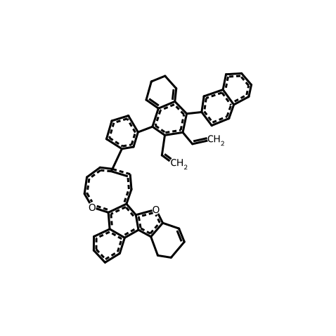 C=Cc1c(C=C)c(-c2ccc3ccccc3c2)c2c(c1-c1cccc(-c3cccoc4c5ccccc5c5c6c(oc5c4cc3)C=CCC6)c1)=CCCC=2